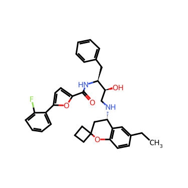 CCc1ccc2c(c1)[C@@H](NC[C@H](O)[C@H](Cc1ccccc1)NC(=O)c1ccc(-c3ccccc3F)o1)CC1(CCC1)O2